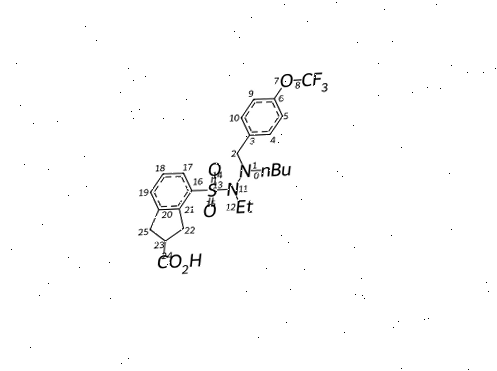 CCCCN(Cc1ccc(OC(F)(F)F)cc1)N(CC)S(=O)(=O)c1cccc2c1CC(C(=O)O)C2